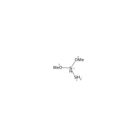 CO[SiH]([SiH2])OC